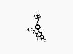 CCOc1nc2c(c(=O)n1-c1ccc(OCC(F)(F)C(F)(F)F)cc1)CC(=O)N2